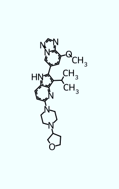 COc1cc(-c2[nH]c3ccc(N4CCN(C5CCOC5)CC4)nc3c2C(C)C)cn2ncnc12